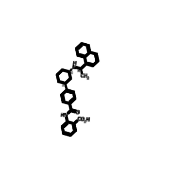 C[C@@H](N[C@H]1CCC[C@H](c2ccc(C(=O)Nc3ccccc3C(=O)O)cc2)C1)c1cccc2ccccc12